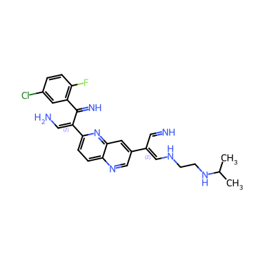 CC(C)NCCN/C=C(\C=N)c1cnc2ccc(/C(=C/N)C(=N)c3cc(Cl)ccc3F)nc2c1